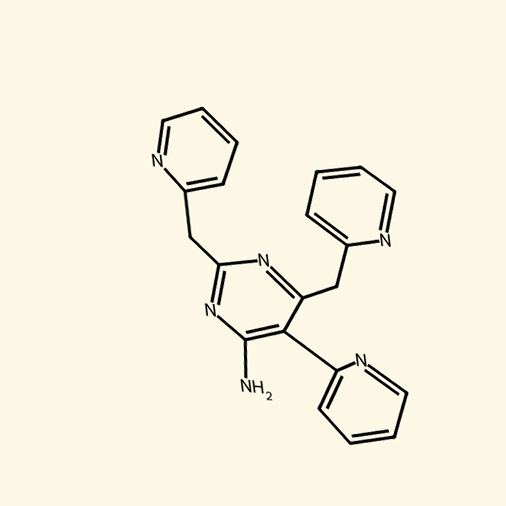 Nc1nc(Cc2ccccn2)nc(Cc2ccccn2)c1-c1ccccn1